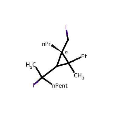 CCCCCC(C)(I)C1C(C)(CC)[C@]1(CI)CCC